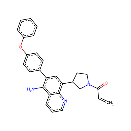 C=CC(=O)N1CCC(c2cc(-c3ccc(Oc4ccccc4)cc3)c(N)c3cccnc23)C1